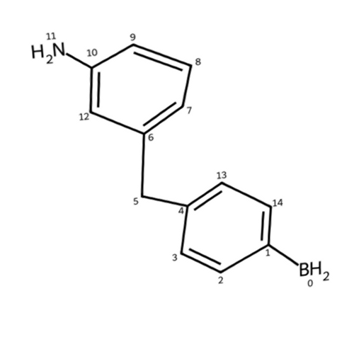 Bc1ccc(Cc2cccc(N)c2)cc1